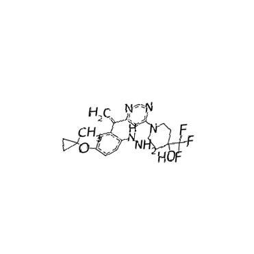 C=C(c1cc(N2CCC(O)(C(F)(F)F)CC2)ncn1)c1cc(OC2(C)CC2)ccc1NN